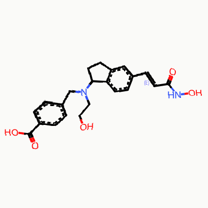 O=C(/C=C/c1ccc2c(c1)CCC2N(CCO)Cc1ccc(C(=O)O)cc1)NO